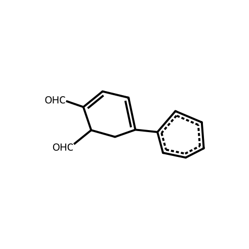 O=CC1=CC=C(c2ccccc2)CC1C=O